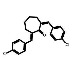 O=C1C(=Cc2ccc(Cl)cc2)CCCCC1=Cc1ccc(Cl)cc1